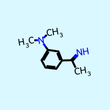 CC(=N)c1cccc(N(C)C)c1